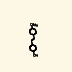 COc1ccc(C=Cc2ccc(O)cc2)cc1